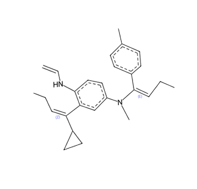 C=CNc1ccc(N(C)/C(=C/CC)c2ccc(C)cc2)cc1/C(=C\CC)C1CC1